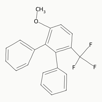 COc1ccc(C(F)(F)F)c(-c2ccccc2)c1-c1ccccc1